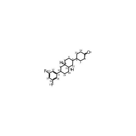 O=C1CCC(C2CC[C@H]3CC(c4cc(F)cc(F)c4)CC[C@@H]3C2)CC1